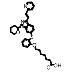 O=C(O)CCCCCCOc1ccccc1Sc1ccc2c(C=Cc3ccccn3)nn(C3CCCCO3)c2c1